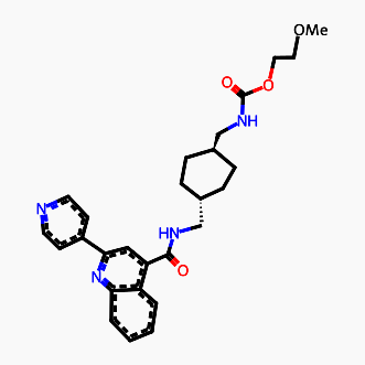 COCCOC(=O)NC[C@H]1CC[C@H](CNC(=O)c2cc(-c3ccncc3)nc3ccccc23)CC1